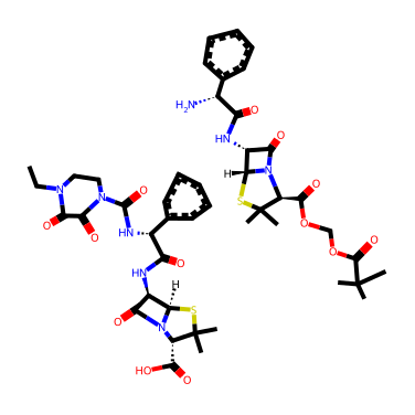 CC(C)(C)C(=O)OCOC(=O)[C@@H]1N2C(=O)[C@@H](NC(=O)[C@H](N)c3ccccc3)[C@H]2SC1(C)C.CCN1CCN(C(=O)N[C@@H](C(=O)N[C@@H]2C(=O)N3[C@@H]2SC(C)(C)[C@@H]3C(=O)O)c2ccccc2)C(=O)C1=O